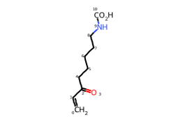 C=CC(=O)CCCCCNC(=O)O